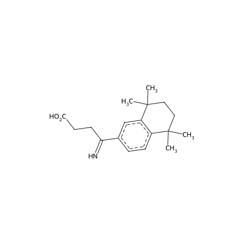 CC1(C)CCC(C)(C)c2cc(C(=N)CCC(=O)O)ccc21